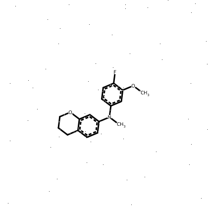 COc1cc(N(C)c2ccc3c(c2)OCCC3)ccc1F